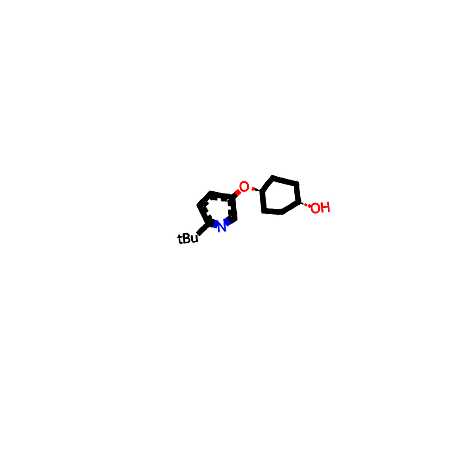 CC(C)(C)c1ccc(O[C@H]2CC[C@@H](O)CC2)cn1